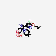 C=C(C)CCOc1ncc(-c2cnc(C)c(CC(=O)O)c2N2CCC(C)(C)CC2)cc1F